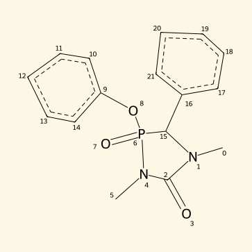 CN1C(=O)N(C)P(=O)(Oc2ccccc2)C1c1ccccc1